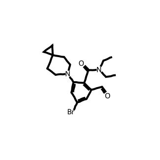 CCN(CC)C(=O)c1c(C=O)cc(Br)cc1N1CCC2(CC1)CC2